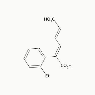 CCc1ccccc1/C(=C\C=C\C(=O)O)C(=O)O